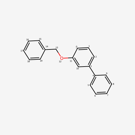 [c]1ccc(-c2ccccc2)cc1OCc1ccccc1